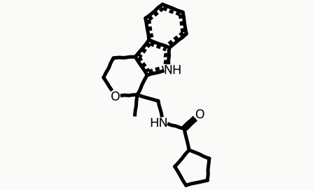 CC1(CNC(=O)C2CCCC2)OCCc2c1[nH]c1ccccc21